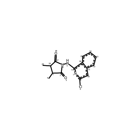 CC1C(=O)N(Nc2nc(Cl)cc3ccccc23)C(=O)C1C